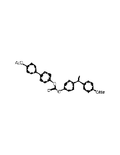 COc1ccc(C(C)c2ccc(OC(=O)Oc3ccc(-c4ccc(OC(C)=O)cc4)cc3)cc2)cc1